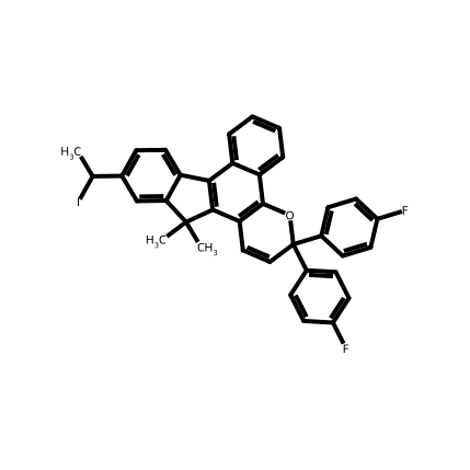 CC(I)c1ccc2c(c1)C(C)(C)c1c3c(c4ccccc4c1-2)OC(c1ccc(F)cc1)(c1ccc(F)cc1)C=C3